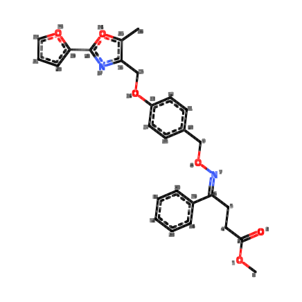 COC(=O)CCC(=NOCc1ccc(OCc2nc(-c3ccco3)oc2C)cc1)c1ccccc1